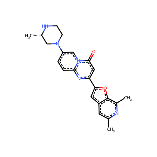 Cc1cc2cc(-c3cc(=O)n4cc(N5CCN[C@@H](C)C5)ccc4n3)oc2c(C)n1